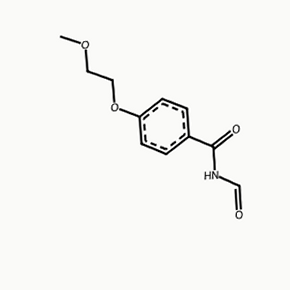 COCCOc1ccc(C(=O)NC=O)cc1